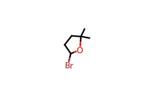 CC1(C)CCC(Br)O1